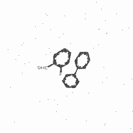 O=Cc1ccccc1F.c1ccc(-c2ccccc2)cc1